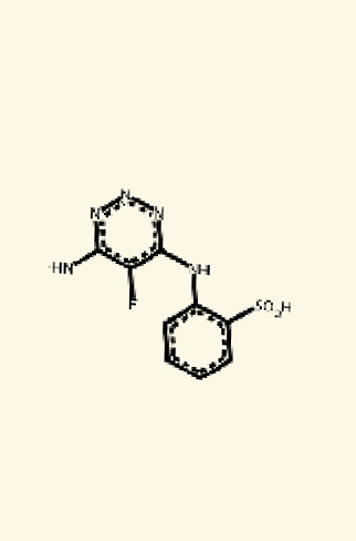 [NH]c1nnnc(Nc2ccccc2S(=O)(=O)O)c1F